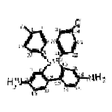 Cc1ccc(Sc2cc(N)ccc2-c2ccc(N)cc2Sc2ccc(Cl)cc2)cc1